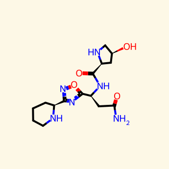 NC(=O)C[C@H](NC(=O)[C@@H]1C[C@H](O)CN1)c1nc([C@@H]2CCCCN2)no1